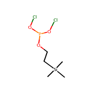 C[Si](C)(C)CCOP(OCl)OCl